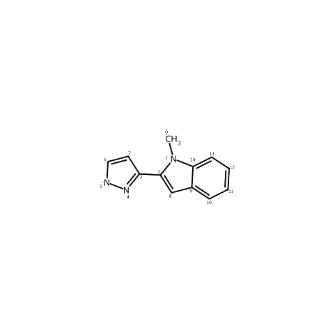 Cn1c(C2=N[N]C=C2)cc2ccccc21